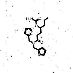 CCCC(CCC(=O)N(Cc1cccs1)Cc1cccs1)OC(N)=O